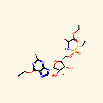 CCOC(=O)C(C)NP(=O)(OC[C@H]1O[C@@H](n2cnc3c(OCC)nc(C)nc32)[C@](C)(O)[C@@H]1O)SCC